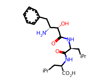 CC(C)C[C@H](NC(=O)[C@@H](O)[C@H](N)Cc1ccccc1)C(=O)N[C@H](CC(C)C)C(=O)O